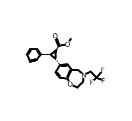 COC(=O)[C@@H]1[C@H](c2ccccc2)[C@H]1c1ccc2c(c1)CN(CC(F)(F)F)CCO2